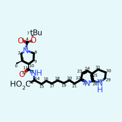 C[C@H]1CN(C(=O)OC(C)(C)C)CC[C@H]1C(=O)NC(CCCCCCCc1ccc2c(n1)NCCC2)C(=O)O